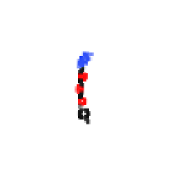 C[C@H]1CC[C@H](COCCOCCOCCN=[N+]=[N-])CC1